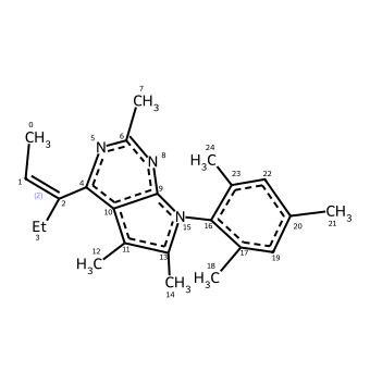 C/C=C(/CC)c1nc(C)nc2c1c(C)c(C)n2-c1c(C)cc(C)cc1C